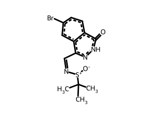 CC(C)(C)[S+]([O-])/N=C\c1n[nH]c(=O)c2ccc(Br)cc12